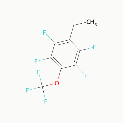 CCc1c(F)c(F)c(OC(F)(F)F)c(F)c1F